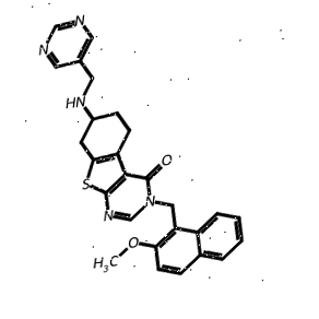 COc1ccc2ccccc2c1Cn1cnc2sc3c(c2c1=O)CCC(NCc1cncnc1)C3